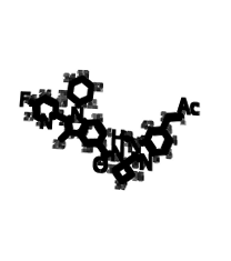 CC(=O)/C=C/c1ccc2nc(C3(NC(=O)c4ccc5c(c4)c(C)c(-c4ccc(F)cn4)n5C4CCCCC4)CCC3)n(C)c2c1